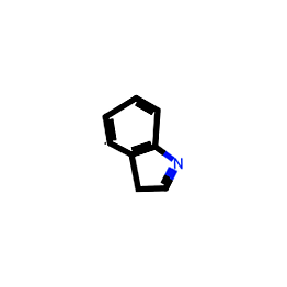 [c]1cccc2c1CC=N2